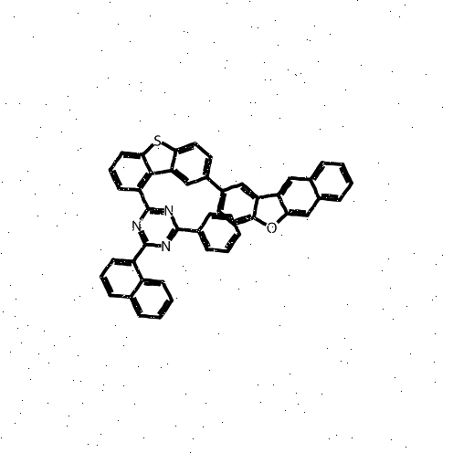 c1ccc(-c2nc(-c3cccc4ccccc34)nc(-c3cccc4sc5ccc(-c6ccc7oc8cc9ccccc9cc8c7c6)cc5c34)n2)cc1